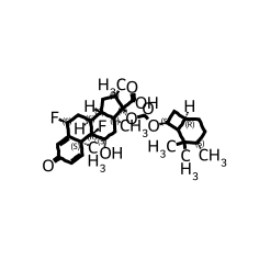 C[C@@H]1C[C@H]2[C@@H]3C[C@H](F)C4=CC(=O)C=C[C@]4(C)[C@@]3(F)[C@@H](O)C[C@]2(C)[C@@]1(OC(=O)O[C@H]1C[C@H]2CC[C@H](C)C(C)(C)C21)C(=O)O